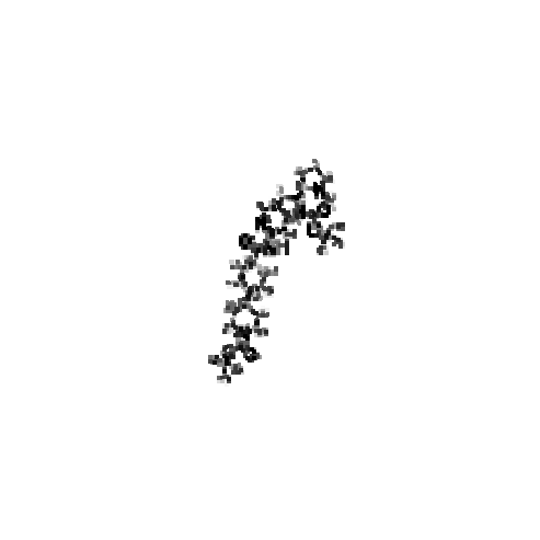 CN1CCC[C@@H]1c1cc2cnc(NC(=O)c3ccc(C4CCN(C(=O)OC(C)(C)C)CC4)cc3)cc2n1C(=O)OC(C)(C)C